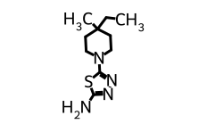 CCC1(C)CCN(c2nnc(N)s2)CC1